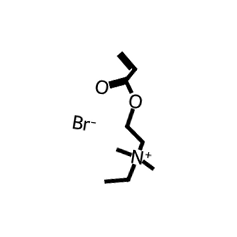 C=CC(=O)OCC[N+](C)(C)CC.[Br-]